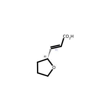 O=C(O)/C=C/[C@H]1CCCO1